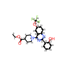 CCOC(=O)C1CCN(c2nc(-c3ccccc3O)nc3ccc(OC(F)(F)F)cc23)CC1